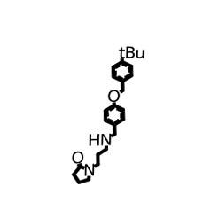 CC(C)(C)c1ccc(COc2ccc(CNCCCN3CCCC3=O)cc2)cc1